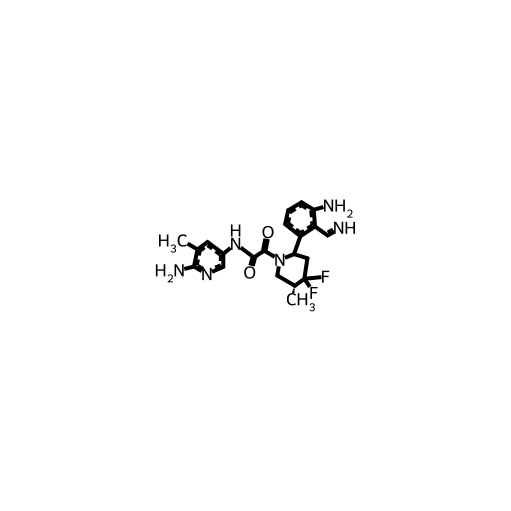 Cc1cc(NC(=O)C(=O)N2C[C@@H](C)C(F)(F)CC2c2cccc(N)c2C=N)cnc1N